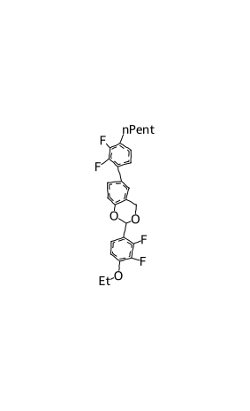 CCCCCc1ccc(-c2ccc3c(c2)COC(c2ccc(OCC)c(F)c2F)O3)c(F)c1F